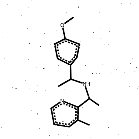 COc1ccc(C(C)NC(C)c2ncccc2C)cc1